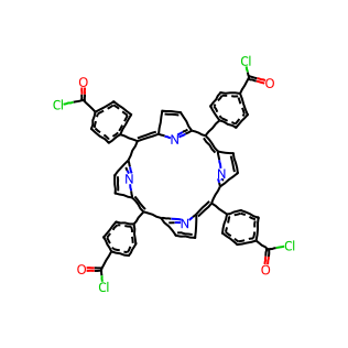 O=C(Cl)c1ccc(C2=C3C=CC(=N3)C(c3ccc(C(=O)Cl)cc3)=C3C=CC(=N3)C(c3ccc(C(=O)Cl)cc3)=C3C=CC(=N3)C(c3ccc(C(=O)Cl)cc3)=C3C=CC2=N3)cc1